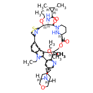 CCO[C@@H]1c2nc(cs2)-c2ccc3c(c2)c(c(-c2cc(C4C[C@@H]5COC[C@@H](C4)N5C4CC4)cnc2[C@H](C)OC)n3CC)CC(C)(C)COC(=O)[C@@H]2CCCN(N2)C(=O)[C@H]1NC(=O)[C@H]1[C@H](C)[C@@H]1C